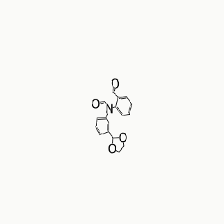 O=Cc1ccccc1N(C=O)c1cccc(C2OCCO2)c1